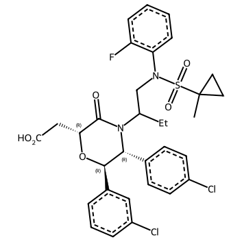 CCC(CN(c1ccccc1F)S(=O)(=O)C1(C)CC1)N1C(=O)[C@@H](CC(=O)O)O[C@H](c2cccc(Cl)c2)[C@H]1c1ccc(Cl)cc1